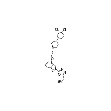 CC(C)Cc1nnc(-c2cc3c(OCCCN4CCC(c5ccc(Cl)c(Cl)c5)CC4)cccc3o2)o1